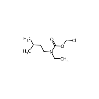 CCN(CCC(C)C)C(=O)OCCl